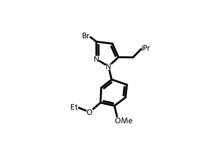 CCOc1cc(-n2nc(Br)cc2CC(C)C)ccc1OC